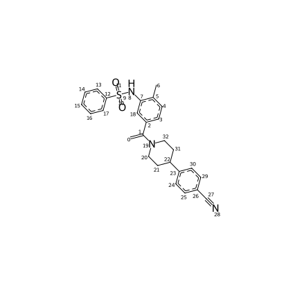 C=C(c1ccc(C)c(NS(=O)(=O)c2ccccc2)c1)N1CCC(c2ccc(C#N)cc2)CC1